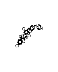 COCC12CC(S(=O)(=O)c3coc4cc(Cl)ccc4c3=O)CC(=O)C1CC1(CCN(CN3C=CN=CC3)CC1)O2